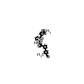 Cc1cc(-c2cccc(-c3csc(NC(=O)[C@@H]4CCCN4C(=O)c4ccn(S(C)(=O)=O)c4)n3)c2)ccc1C=O